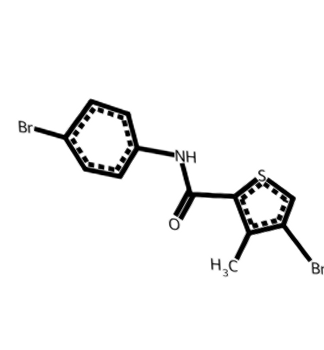 Cc1c(Br)csc1C(=O)Nc1ccc(Br)cc1